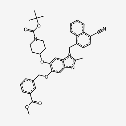 COC(=O)c1cccc(COc2cc3nc(C)n(Cc4ccc(C#N)c5ccccc45)c3cc2OC2CCN(C(=O)OC(C)(C)C)CC2)c1